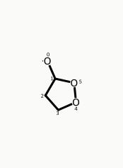 [O]C1CCOO1